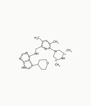 Cc1cc(C)c(N2C[C@@H](C)N[C@@H](C)C2)nc1CNc1ncnc2[nH]cc(C3CCOCC3)c12